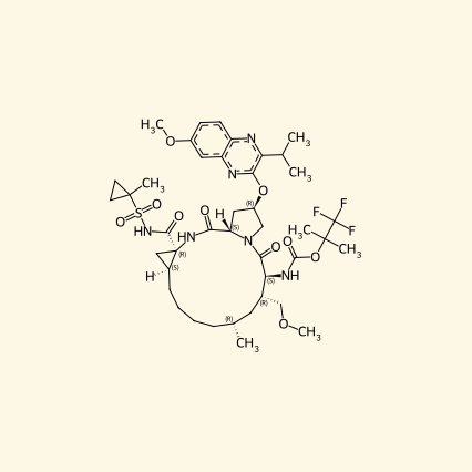 COC[C@@H]1C[C@H](C)CCCC[C@H]2C[C@@]2(C(=O)NS(=O)(=O)C2(C)CC2)NC(=O)[C@@H]2C[C@@H](Oc3nc4cc(OC)ccc4nc3C(C)C)CN2C(=O)[C@H]1NC(=O)OC(C)(C)C(F)(F)F